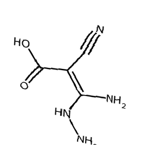 N#C/C(C(=O)O)=C(\N)NN